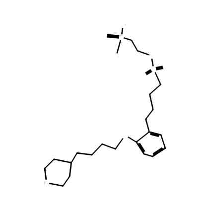 O=P(O)(O)CCNS(=O)(=O)CCCCc1ccccc1OCCCCC1CCNCC1